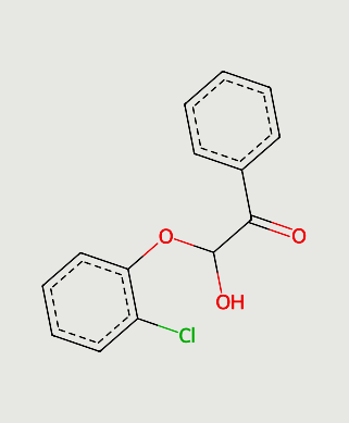 O=C(c1ccccc1)C(O)Oc1ccccc1Cl